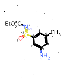 CCOC(=O)/N=[SH](=O)/c1cc(C)cc(N)c1